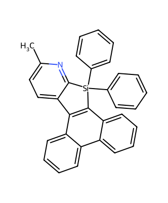 Cc1ccc2c(n1)[Si](c1ccccc1)(c1ccccc1)c1c-2c2ccccc2c2ccccc12